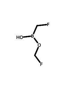 OB(CF)OCF